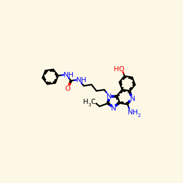 CCc1nc2c(N)nc3ccc(O)cc3c2n1CCCCNC(=O)Nc1ccccc1